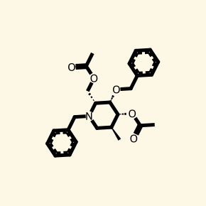 CC(=O)OC[C@@H]1[C@H](OCc2ccccc2)[C@H](OC(C)=O)[C@@H](C)CN1Cc1ccccc1